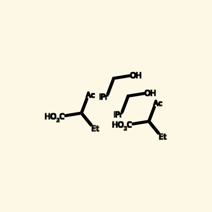 CC(C)CO.CC(C)CO.CCC(C(C)=O)C(=O)O.CCC(C(C)=O)C(=O)O